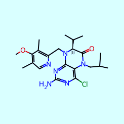 COc1c(C)cnc(CN2c3nc(N)nc(Cl)c3N(CC(C)C)C(=O)[C@@H]2C(C)C)c1C